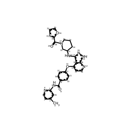 Cc1ccnc(NC(=O)c2ccc(Oc3ccnc4[nH]nc(NC5CCCN(C(=O)c6ncco6)C5)c34)cc2)c1